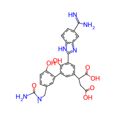 CN(Cc1ccc(O)c(-c2cc(C(CC(=O)O)C(=O)O)cc(-c3nc4cc(C(=N)N)ccc4[nH]3)c2O)c1)C(N)=O